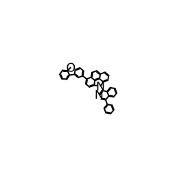 c1ccc(-c2cnc(-n3c4cccc5ccc6c(-c7ccc8oc9ccccc9c8c7)ccc3c6c54)c3ccccc23)cc1